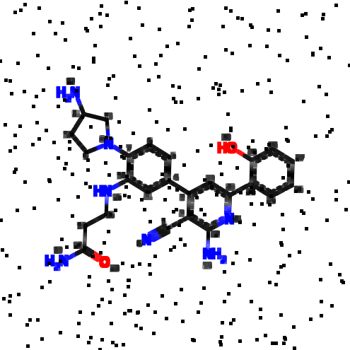 N#Cc1c(-c2ccc(N3CCC(N)C3)c(NCCC(N)=O)c2)cc(-c2ccccc2O)nc1N